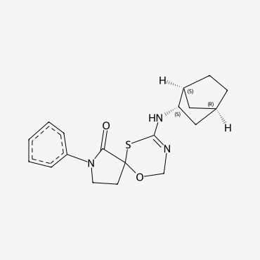 O=C1N(c2ccccc2)CCC12OCN=C(N[C@H]1C[C@@H]3CC[C@H]1C3)S2